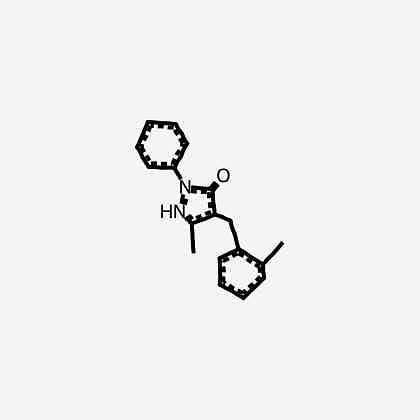 Cc1ccccc1Cc1c(C)[nH]n(-c2ccccc2)c1=O